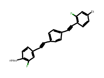 CCCCCCc1ccc(C#Cc2ccc(C#Cc3ccc(CC)cc3F)cc2)cc1F